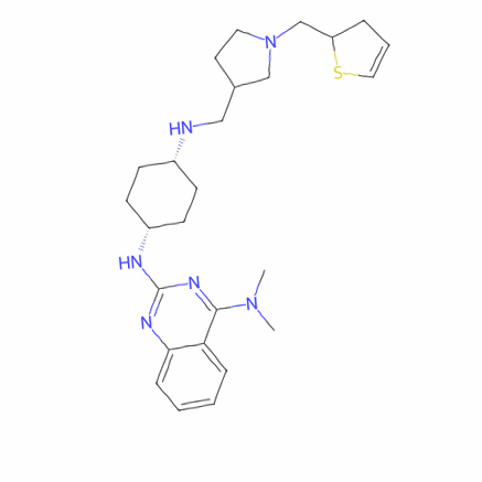 CN(C)c1nc(N[C@H]2CC[C@@H](NCC3CCN(CC4CC=CS4)C3)CC2)nc2ccccc12